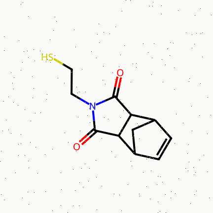 O=C1C2C3C=CC(C3)C2C(=O)N1CCS